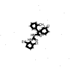 CCc1cccc(CC)c1NC(=O)Nc1oc2ccc(Cl)cc2c1-c1ccccc1C